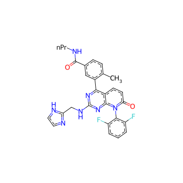 CCCNC(=O)c1ccc(C)c(-c2nc(NCc3ncc[nH]3)nc3c2ccc(=O)n3-c2c(F)cccc2F)c1